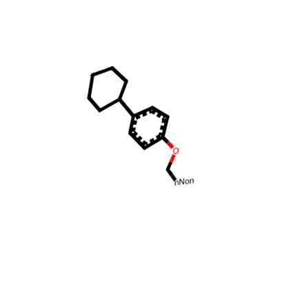 CCCCCCCCCCOc1ccc(C2CC[CH]CC2)cc1